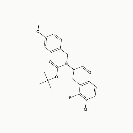 COc1ccc(CN(C(=O)OC(C)(C)C)C(C=O)Cc2cccc(Cl)c2F)cc1